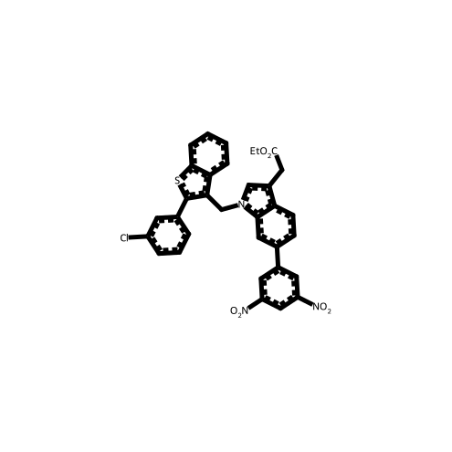 CCOC(=O)Cc1cn(Cc2c(-c3cccc(Cl)c3)sc3ccccc23)c2cc(-c3cc([N+](=O)[O-])cc([N+](=O)[O-])c3)ccc12